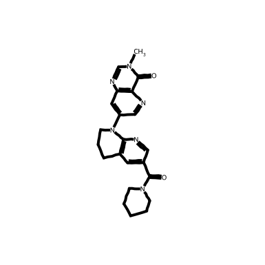 Cn1cnc2cc(N3CCCc4cc(C(=O)N5CCCCC5)cnc43)cnc2c1=O